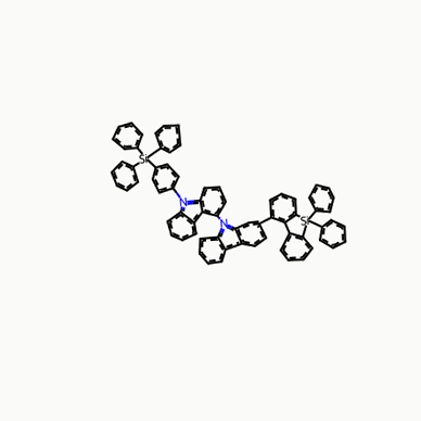 c1ccc([Si](c2ccccc2)(c2ccccc2)c2ccc(-n3c4ccccc4c4c(-n5c6ccccc6c6ccc(-c7cccc8c7-c7ccccc7[Si]8(c7ccccc7)c7ccccc7)cc65)cccc43)cc2)cc1